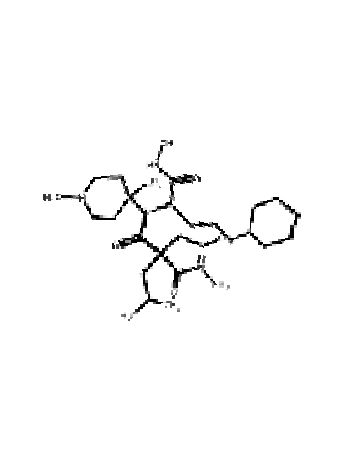 CCCC(CC(C)C)(C(=O)NN)C(=O)[C@H](C(CCCC1CCCCC1)C(=O)NO)C1(C)CCN(C)CC1